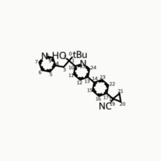 CC(C)(C)C(O)(Cc1cccnc1)c1ccc(-c2ccc(C3(C#N)CC3)cc2)cn1